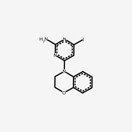 Nc1nc(I)cc(N2CCOc3ccccc32)n1